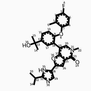 Cc1cc(F)ccc1Oc1ccc(C(C)(C)O)cc1-c1cn(C)c(=O)c2cc(-c3cnc(C(C)C)[nH]3)oc12